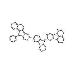 c1ccc(-n2c3ccc(-c4ccc5c(c4)c4ccccc4n5-c4cc5c(cn4)-c4nccc6cccc-5c46)cc3c3ccc4ccccc4c32)cc1